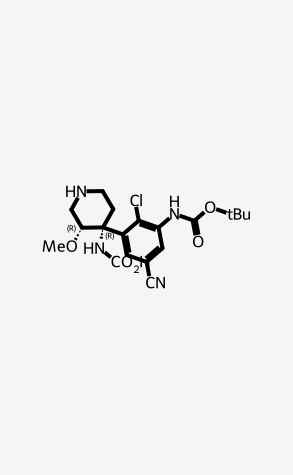 CO[C@@H]1CNCC[C@@]1(NC(=O)O)c1cc(C#N)cc(NC(=O)OC(C)(C)C)c1Cl